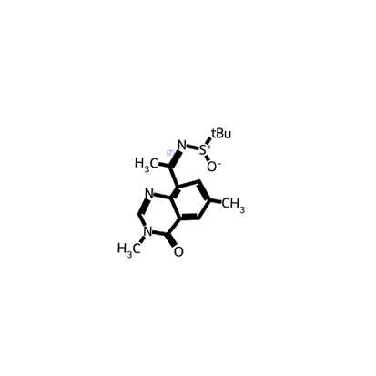 C/C(=N/[S+]([O-])C(C)(C)C)c1cc(C)cc2c(=O)n(C)cnc12